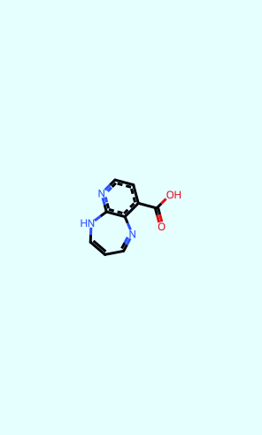 O=C(O)c1ccnc2c1N=CC=CN2